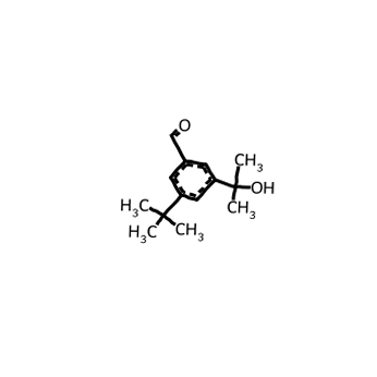 CC(C)(C)c1cc(C=O)cc(C(C)(C)O)c1